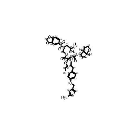 Cc1nc(COc2ccc(CCC[C@](NC(=O)O[C@H]3CO[C@H]4OCC[C@H]43)(OCCI)C(=O)OCN(CC(C)C)S(=O)(=O)c3ccc4c(c3)OCO4)cc2)cs1